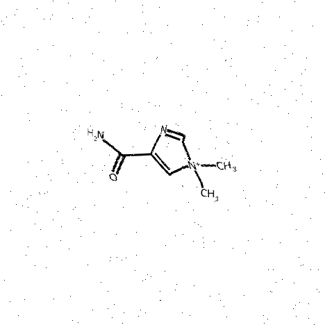 C[N+]1(C)C=NC(C(N)=O)=C1